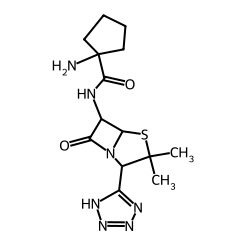 CC1(C)SC2C(NC(=O)C3(N)CCCC3)C(=O)N2C1c1nnn[nH]1